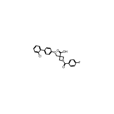 O=C(c1ccc(F)cc1)N1CC(COc2ccc(-c3ccccc3Cl)cc2)(C(=O)O)C1